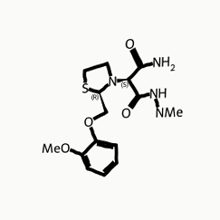 CNNC(=O)[C@H](C(N)=O)N1CCS[C@@H]1COc1ccccc1OC